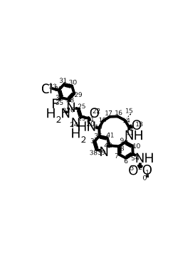 COC(=O)Nc1ccc2c(c1)NC(=O)[C@@H](C)CCCC(NC(=O)/C(N)=C/N(N)c1cccc(Cl)c1F)c1ccnc-2c1